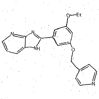 CCOc1cc(OCc2ccncc2)cc(-c2nc3ncccc3[nH]2)c1